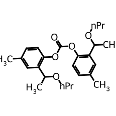 CCCOC(C)c1cc(C)ccc1OC(=O)Oc1ccc(C)cc1C(C)OCCC